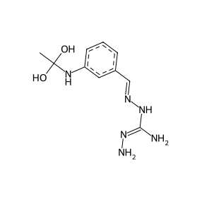 CC(O)(O)Nc1cccc(C=NNC(N)=NN)c1